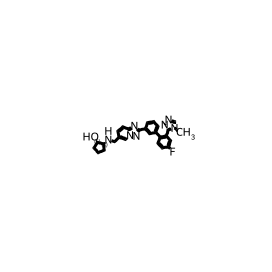 Cn1cnnc1-c1cc(F)ccc1-c1cccc(-c2nc3ccc(CN[C@@H]4CCC[C@@H]4O)cn3n2)c1